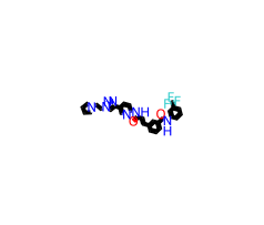 O=C(/C=C/c1cccc(C(=O)Nc2cccc(C(F)(F)F)c2)c1)Nc1ccc(-c2cn(CCN3CCCC3)nn2)cn1